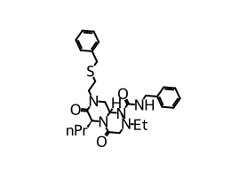 CCC[C@H]1C(=O)N(CCSCc2ccccc2)C[C@H]2N1C(=O)CN(CC)N2C(=O)NCc1ccccc1